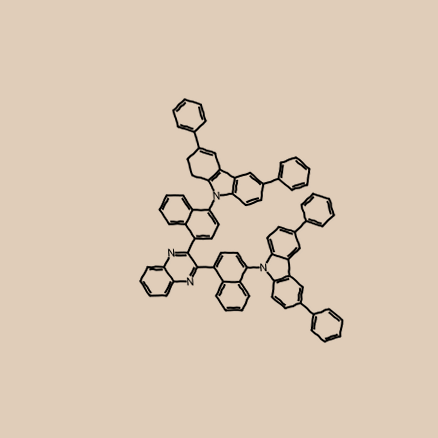 C1=C(c2ccccc2)CCc2c1c1cc(-c3ccccc3)ccc1n2-c1ccc(-c2nc3ccccc3nc2-c2ccc(-n3c4ccc(-c5ccccc5)cc4c4cc(-c5ccccc5)ccc43)c3ccccc23)c2ccccc12